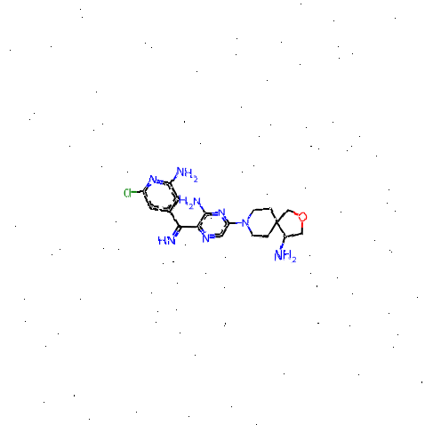 N=C(c1cc(N)nc(Cl)c1)c1ncc(N2CCC3(CC2)COCC3N)nc1N